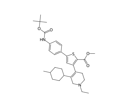 CCN1CCC(c2cc(-c3ccc(NC(=O)OC(C)(C)C)cc3)sc2C(=O)OC)=C(C2CCC(C)CC2)C1